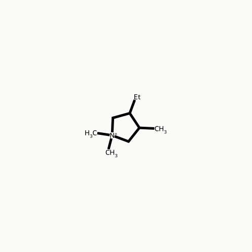 CCC1C[N+](C)(C)CC1C